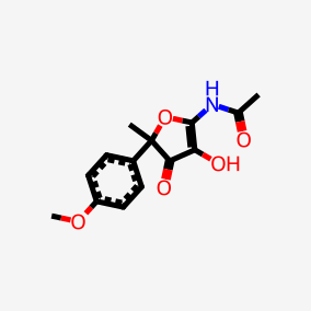 COc1ccc(C2(C)OC(NC(C)=O)=C(O)C2=O)cc1